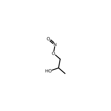 CC(O)CON=O